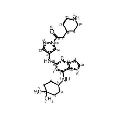 CC1(O)CCC(Nc2nc(Nc3cnn(C(=O)CC4CCNCC4)c3)nc3ccsc23)CC1